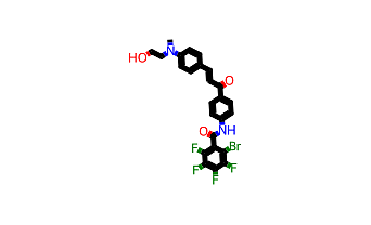 CN(CCO)c1ccc(/C=C/C(=O)c2ccc(NC(=O)c3c(F)c(F)c(F)c(F)c3Br)cc2)cc1